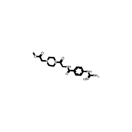 COC(=O)CN1CCN(C(=O)CNC(=O)c2ccc(NC(=N)N)cc2)CC1